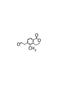 Cc1c(CC=O)ccc2c1CCOC2=O